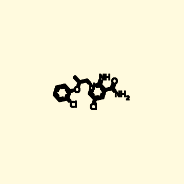 CC(Cn1cc(Cl)cc(C(N)=O)c1=N)Oc1ccccc1Cl